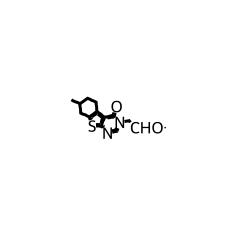 CC1CCc2c(sc3ncn(C[C]=O)c(=O)c23)C1